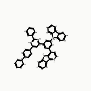 c1ccc(-c2ccc(-c3cc(-c4cc(-c5ccnc6c5oc5ccccc56)cc(-n5c6ccccc6c6ccccc65)c4)nc(-c4ccccc4)n3)cc2)cc1